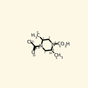 CC1CN(C(=O)O)[C@@H](C)CN1C(=O)Cl